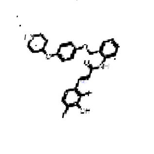 O=C(/C=C/c1ccc(F)c(O)c1F)Nc1ccccc1COc1ccc(OC2CCNCC2)cc1